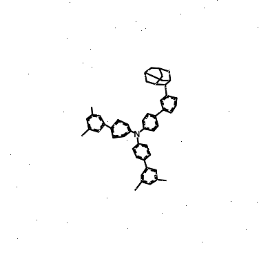 Cc1cc(C)cc(-c2ccc(N(c3ccc(-c4cc(C)cc(C)c4)cc3)c3ccc(-c4cccc(C5C6CC7CC(C6)CC5C7)c4)cc3)cc2)c1